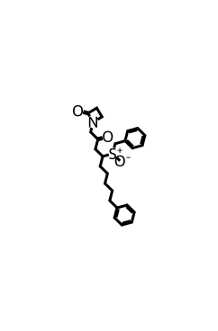 O=C(CC(CCCCCc1ccccc1)[S+]([O-])Cc1ccccc1)CN1CCC1=O